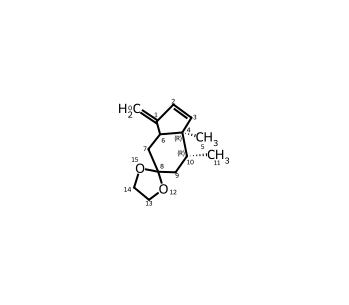 C=C1C=C[C@]2(C)C1CC1(C[C@H]2C)OCCO1